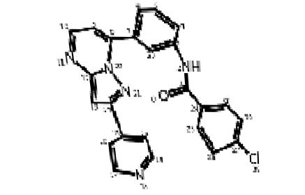 O=C(Nc1cccc(-c2ccnc3cc(-c4ccncc4)nn23)c1)c1ccc(Cl)cc1